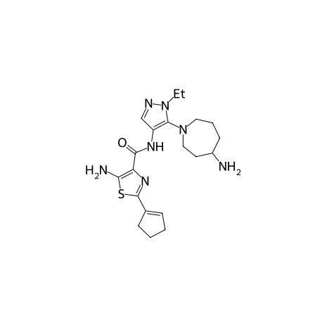 CCn1ncc(NC(=O)c2nc(C3=CCCC3)sc2N)c1N1CCCC(N)CC1